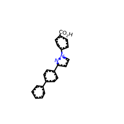 O=C(O)c1ccc(-n2ccc(-c3ccc(-c4ccccc4)cc3)n2)cc1